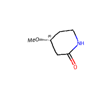 CO[C@@H]1CCNC(=O)C1